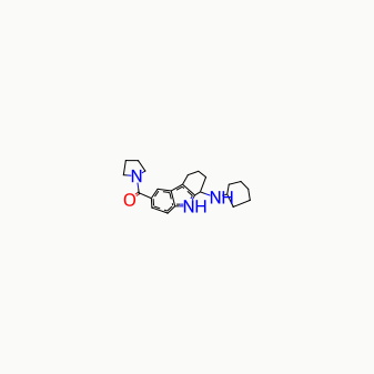 O=C(c1ccc2[nH]c3c(c2c1)CCCC3NC1CCCCC1)N1CCCC1